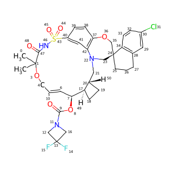 CC1(C)OC/C=C/[C@H](OC(=O)N2CC(F)(F)C2)[C@@H]2CC[C@H]2CN2C[C@@]3(CCCc4cc(Cl)ccc43)COc3ccc(cc32)S(=O)(=O)NC1=O